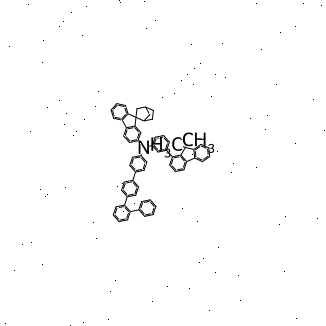 CC1(C)c2ccccc2-c2cccc(-c3cccc(N(c4ccc(-c5ccc(-c6ccccc6-c6ccccc6)cc5)cc4)c4ccc5c(c4)C4(CC6CCC4C6)c4ccccc4-5)c3)c21